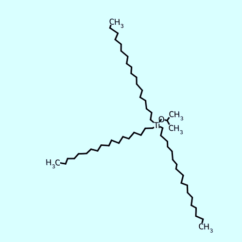 CCCCCCCCCCCCCCCCC[CH2][Ti]([CH2]CCCCCCCCCCCCCCCCC)([CH2]CCCCCCCCCCCCCCCCC)[O]C(C)C